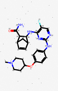 CN1CCC(Oc2ccc(Nc3ncc(F)c(NC4C5C=CC(C5)C4C(N)=O)n3)cc2)CC1